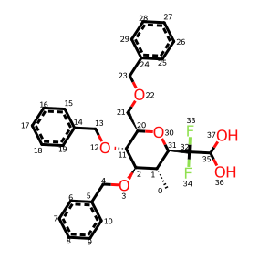 C[C@@H]1[C@@H](OCc2ccccc2)[C@H](OCc2ccccc2)[C@@H](COCc2ccccc2)O[C@H]1C(F)(F)C(O)O